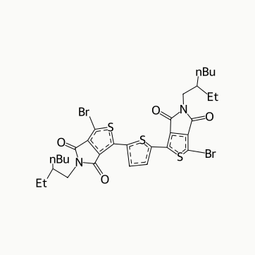 CCCCC(CC)CN1C(=O)c2c(Br)sc(-c3ccc(-c4sc(Br)c5c4C(=O)N(CC(CC)CCCC)C5=O)s3)c2C1=O